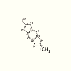 CC1=Cc2cc3c(cc2C1)C=C(I)C3